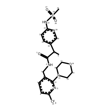 CC(C(=O)NCc1ccc(C(F)(F)F)nc1N1CCOCC1)c1ccc(NS(C)(=O)=O)nc1